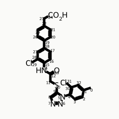 Cc1ccc(-n2nncc2SCC(=O)Nc2ccc(-c3ccc(CC(=O)O)cc3)cc2Cl)c(Cl)c1